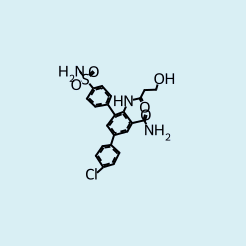 NC(=O)c1cc(-c2ccc(Cl)cc2)cc(-c2ccc(S(N)(=O)=O)cc2)c1NC(=O)CCO